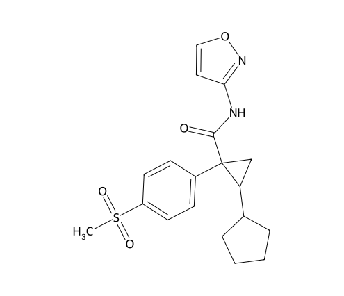 CS(=O)(=O)c1ccc(C2(C(=O)Nc3ccon3)CC2C2CCCC2)cc1